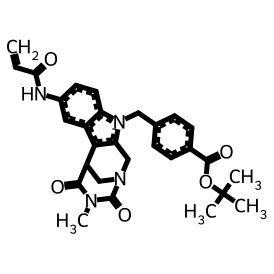 C=CC(=O)Nc1ccc2c(c1)c1c(n2Cc2ccc(C(=O)OC(C)(C)C)cc2)CN2CC1C(=O)N(C)C2=O